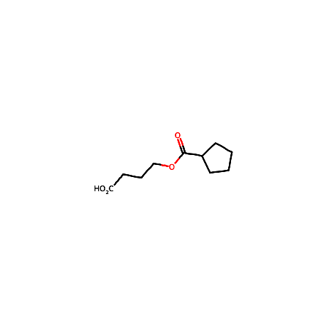 O=C(O)CCCOC(=O)C1CCCC1